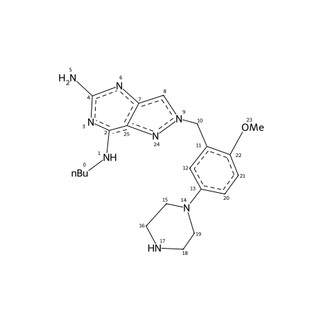 CCCCNc1nc(N)nc2cn(Cc3cc(N4CCNCC4)ccc3OC)nc12